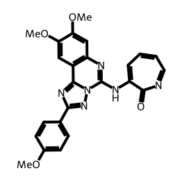 COc1ccc(-c2nc3c4cc(OC)c(OC)cc4nc(Nc4ccccnc4=O)n3n2)cc1